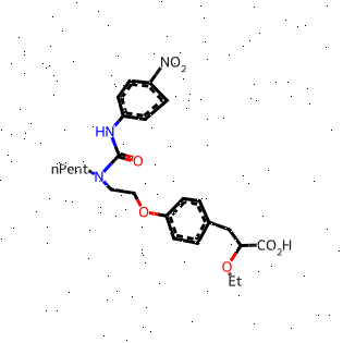 CCCCCN(CCOc1ccc(CC(OCC)C(=O)O)cc1)C(=O)Nc1ccc([N+](=O)[O-])cc1